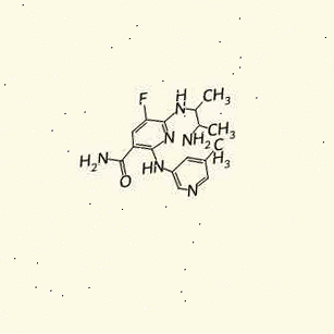 Cc1cncc(Nc2nc(NC(C)C(C)N)c(F)cc2C(N)=O)c1